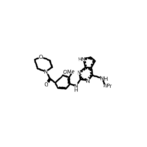 CCCNc1nc(NC2=C(OC)CC(C(=O)N3CCOCC3)C=C2)nc2[nH]ccc12